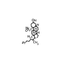 CC(C)CCC[C@@H](C)[C@H]1CC[C@H]2[C@@H]3CC[C@H]4C[C@@H](O)CC[C@]4(C)[C@H]3CC[C@]12C.O